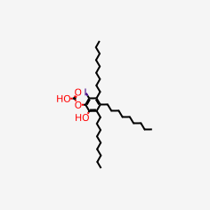 CCCCCCCCCc1c(O)c(OC(=O)O)c(I)c(CCCCCCCCC)c1CCCCCCCCC